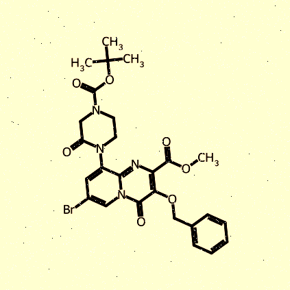 COC(=O)c1nc2c(N3CCN(C(=O)OC(C)(C)C)CC3=O)cc(Br)cn2c(=O)c1OCc1ccccc1